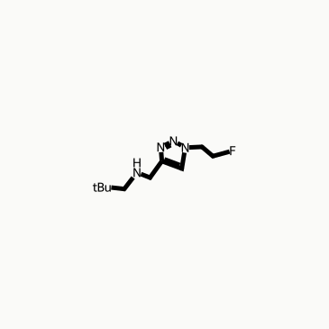 CC(C)(C)CNCc1cn(CCF)nn1